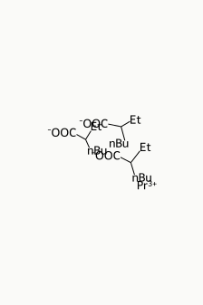 CCCCC(CC)C(=O)[O-].CCCCC(CC)C(=O)[O-].CCCCC(CC)C(=O)[O-].[Pr+3]